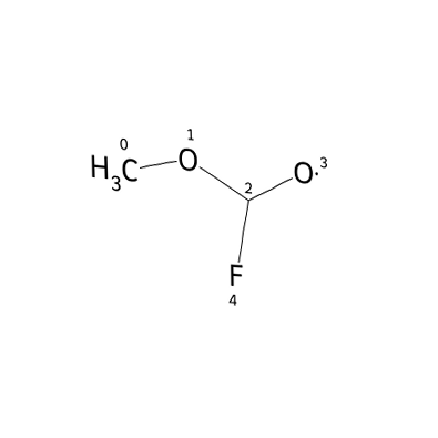 COC([O])F